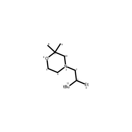 CCC(CN1CCOC(C)(C)C1)C(C)(C)C